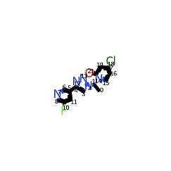 CC(n1cc(-c2cncc(F)c2)nn1)n1ccc(Cl)cc1=O